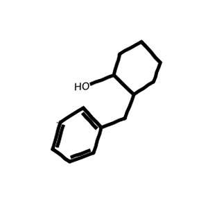 OC1CCCCC1Cc1c[c]ccc1